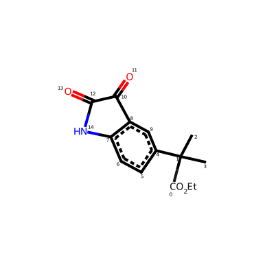 CCOC(=O)C(C)(C)c1ccc2c(c1)C(=O)C(=O)N2